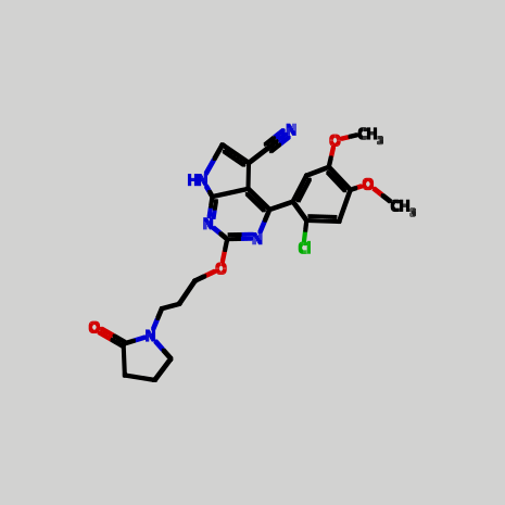 COc1cc(Cl)c(-c2nc(OCCCN3CCCC3=O)nc3[nH]cc(C#N)c23)cc1OC